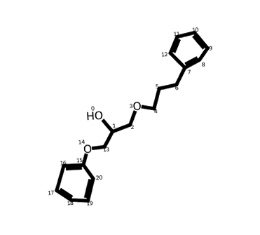 OC(COCCCc1ccccc1)COc1ccccc1